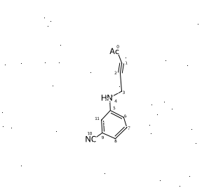 CC(=O)C#CCNc1cccc(C#N)c1